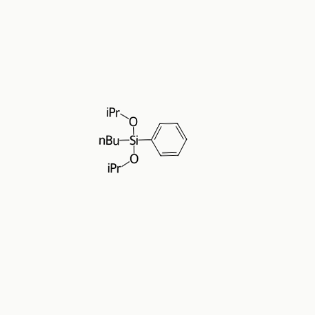 CCCC[Si](OC(C)C)(OC(C)C)c1ccccc1